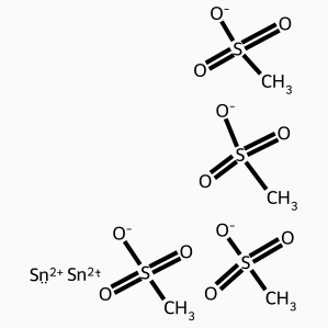 CS(=O)(=O)[O-].CS(=O)(=O)[O-].CS(=O)(=O)[O-].CS(=O)(=O)[O-].[Sn+2].[Sn+2]